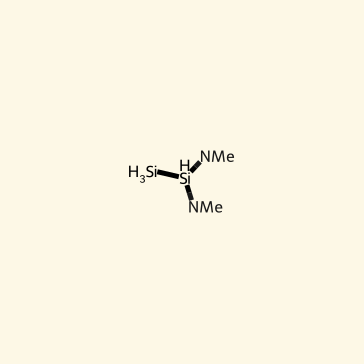 CN[SiH]([SiH3])NC